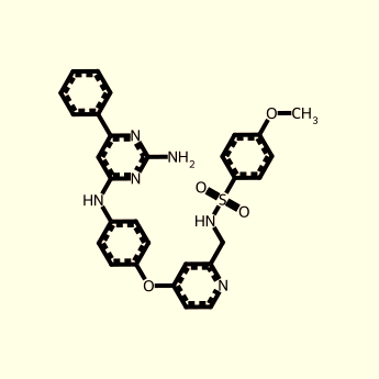 COc1ccc(S(=O)(=O)NCc2cc(Oc3ccc(Nc4cc(-c5ccccc5)nc(N)n4)cc3)ccn2)cc1